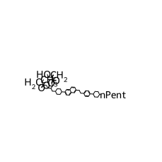 C=C(C)C(=O)OCC(COC(=O)C(=C)CO)CC1CCC(c2ccc3cc(CCc4ccc(C5CCC(CCCCC)CC5)cc4)ccc3c2)CC1